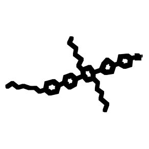 CCCCCCCc1ccc(-c2ccc(-c3cc(CCCCCC)c(-c4ccc(-c5ccc(Br)cc5)cc4)cc3CCCCCC)cc2)cc1